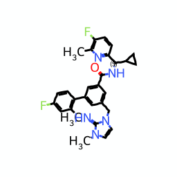 Cc1cc(F)ccc1-c1cc(Cn2ccn(C)c2=N)cc(C(=O)N[C@H](c2ccc(F)c(C)n2)C2CC2)c1